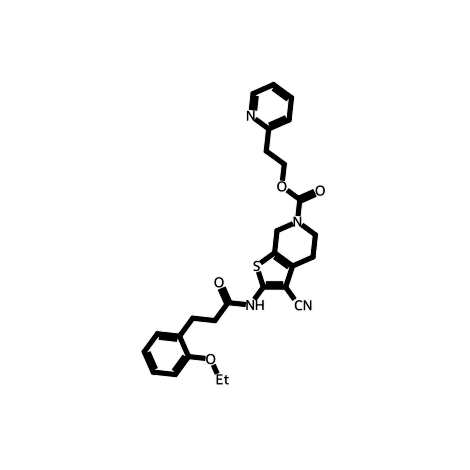 CCOc1ccccc1CCC(=O)Nc1sc2c(c1C#N)CCN(C(=O)OCCc1ccccn1)C2